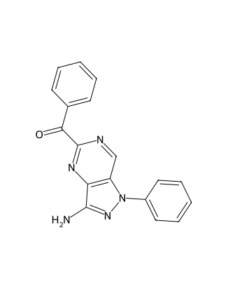 Nc1nn(-c2ccccc2)c2cnc(C(=O)c3ccccc3)nc12